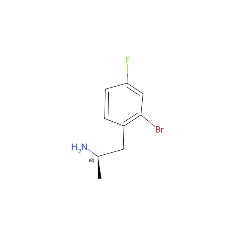 C[C@@H](N)Cc1ccc(F)cc1Br